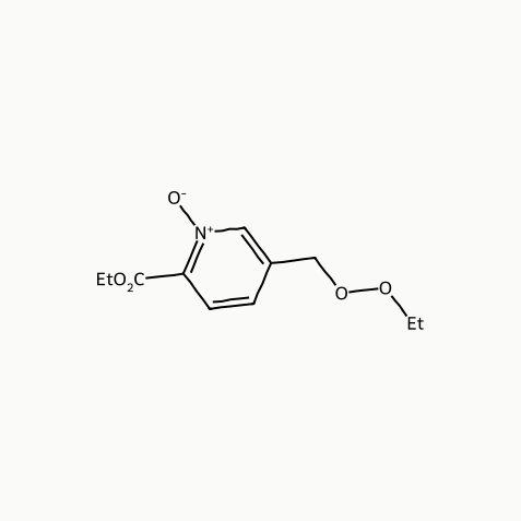 CCOOCc1ccc(C(=O)OCC)[n+]([O-])c1